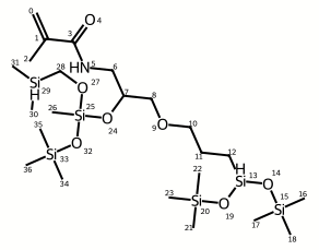 C=C(C)C(=O)NCC(COCCC[SiH](O[Si](C)(C)C)O[Si](C)(C)C)O[Si](C)(OC[SiH](C)C)O[Si](C)(C)C